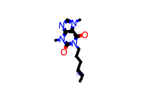 C/C=C/CCCn1c(=O)c2c(ncn2C)n(C)c1=O